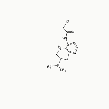 CN(C)C1CNc2c(cccc2NC(=O)CCl)C1